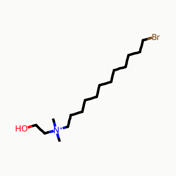 C[N+](C)(CCO)CCCCCCCCCCCCBr